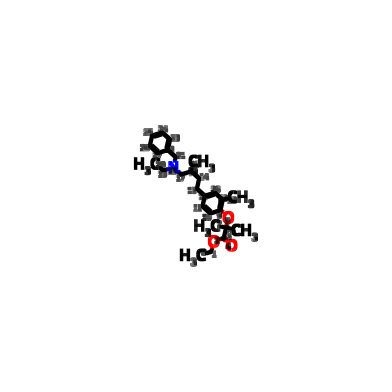 CCOC(=O)C(C)(C)Oc1ccc(CC[C@H](C)CN(CC)Cc2ccccc2)cc1C